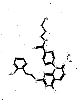 CNC.COc1ccccc1CCNc1nc(C)c2ccc(=O)n(-c3ccc(C(=O)NCCCO)cc3)c2n1